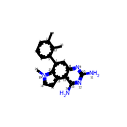 Cc1cccc(-c2cc3nc(N)nc(N)c3c3ccn(C)c23)c1C